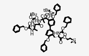 CC(NC(=O)OCc1ccccc1)[C@H](NC(=O)OC(C)(C)C)C(=O)N[C@](C)(C(=O)O)[C@H](O[Si](C)(C)C(C)(C)C)c1cc(-c2ccc(OCc3ccccc3)c(C[C@H](NC(=O)OCc3ccccc3)C(=O)OCC[Si](C)(C)C)c2)ccc1OCc1ccccc1